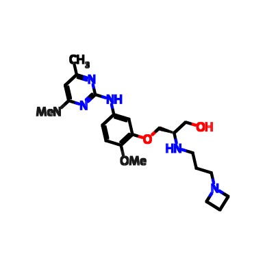 CNc1cc(C)nc(Nc2ccc(OC)c(OC[C@@H](CO)NCCCN3CCC3)c2)n1